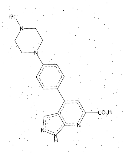 CC(C)N1CCN(c2ccc(-c3cc(C(=O)O)nc4[nH]ncc34)cc2)CC1